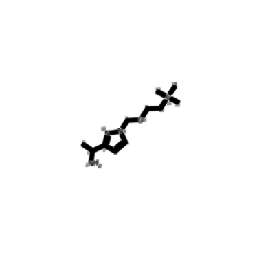 CC(N)c1ccn(COCC[Si](C)(C)C)n1